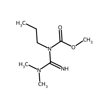 CCCN(C(=N)N(C)C)C(=O)OC